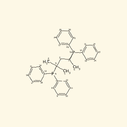 CC(CC(C)(C)P(c1ccccc1)c1ccccc1)P(c1ccccc1)c1ccccc1